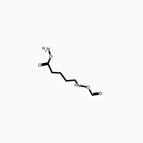 NOC(=O)CCCCNOC=O